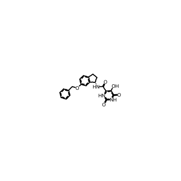 O=C(N[C@H]1CCc2ccc(OCc3ccccc3)cc21)c1[nH]c(=O)[nH]c(=O)c1O